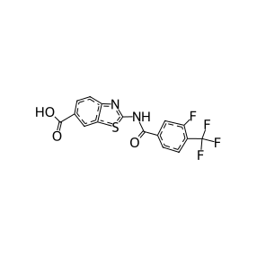 O=C(O)c1ccc2nc(NC(=O)c3ccc(C(F)(F)F)c(F)c3)sc2c1